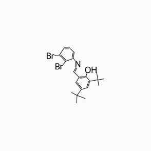 CC(C)(C)c1cc(C=Nc2cccc(Br)c2Br)c(O)c(C(C)(C)C)c1